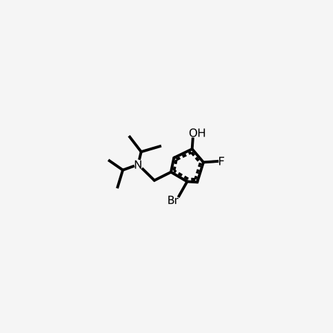 CC(C)N(Cc1cc(O)c(F)cc1Br)C(C)C